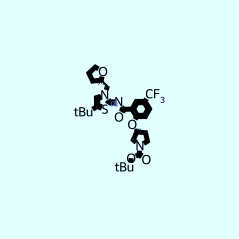 CC(C)(C)OC(=O)N1CC[C@@H](Oc2ccc(C(F)(F)F)cc2C(=O)/N=c2\sc(C(C)(C)C)cn2C[C@H]2CCCO2)C1